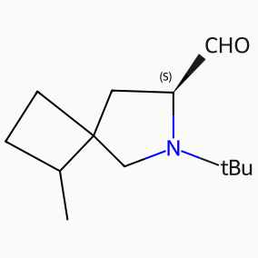 CC1CCC12C[C@@H](C=O)N(C(C)(C)C)C2